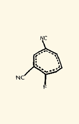 [C-]#[N+]c1ccc(F)c(C#N)c1